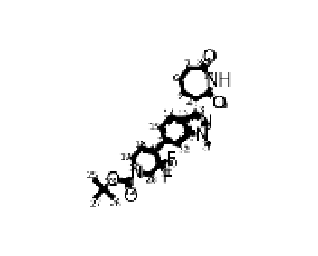 Cn1nc([C@@H]2CCCC(=O)NC2=O)c2ccc(C3=CCN(C(=O)OC(C)(C)C)CC3(F)F)cc21